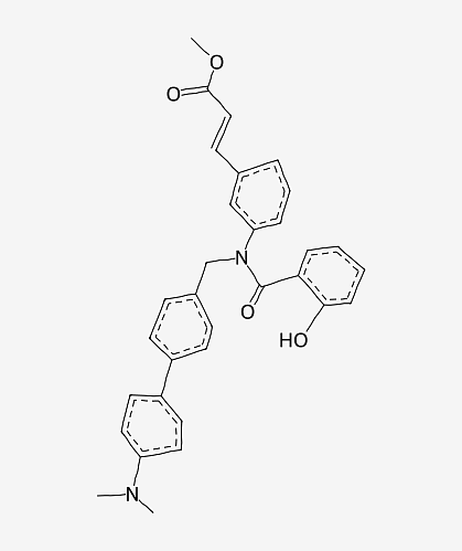 COC(=O)/C=C/c1cccc(N(Cc2ccc(-c3ccc(N(C)C)cc3)cc2)C(=O)c2ccccc2O)c1